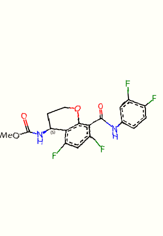 COC(=O)N[C@H]1CCOc2c(C(=O)Nc3ccc(F)c(F)c3)c(F)cc(F)c21